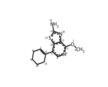 COc1ncc(C2=CCCCC2)c2sc(N)nc12